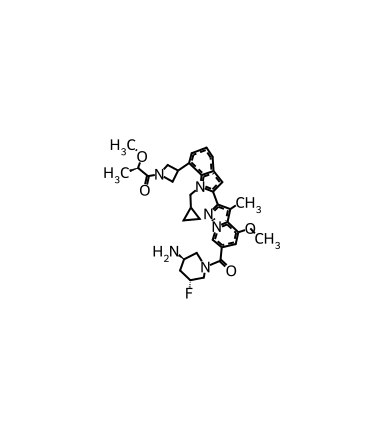 COc1cc(C(=O)N2C[C@H](N)C[C@@H](F)C2)cn2nc(-c3cc4cccc(C5CN(C(=O)[C@@H](C)OC)C5)c4n3CC3CC3)c(C)c12